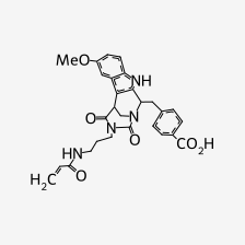 C=CC(=O)NCCCN1C(=O)C2CN(C1=O)C(Cc1ccc(C(=O)O)cc1)c1[nH]c3ccc(OC)cc3c12